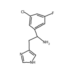 NC(Cc1c[nH]cn1)c1cc(F)cc(Cl)c1